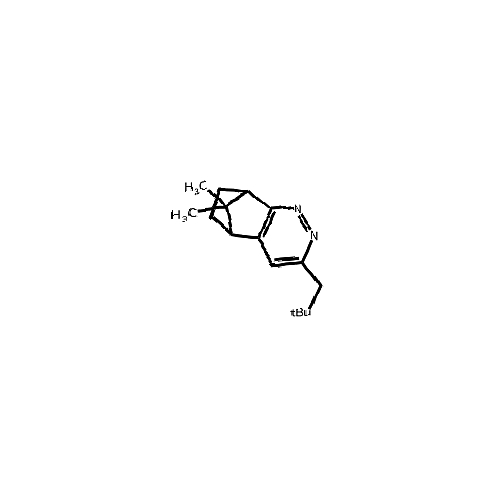 CC(C)(C)Cc1cc2c(nn1)C1CCC2C1(C)C